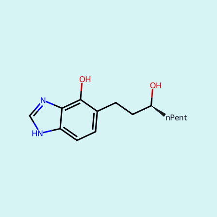 CCCCC[C@H](O)CCc1ccc2[nH]cnc2c1O